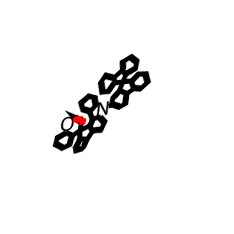 c1ccc2c(c1)Oc1ccccc1C21c2ccccc2-c2ccc3c(c21)c1ccccc1n3-c1ccc2c(c1)C1(c3ccccc3-c3ccccc31)c1ccccc1-2